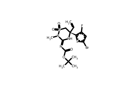 C=C[C@@]1(c2sc(Br)cc2F)CS(=O)(=O)N(C)/C(=N/C(=O)OC(C)(C)C)N1